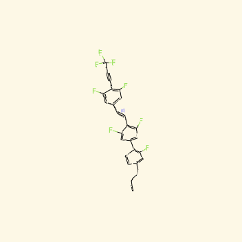 CCCc1ccc(-c2cc(F)c(/C=C/c3cc(F)c(C#CC(F)(F)F)c(F)c3)c(F)c2)c(F)c1